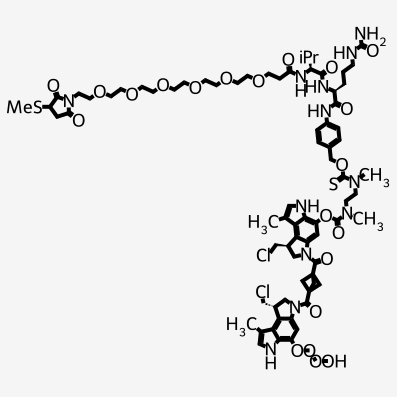 CSC1CC(=O)N(CCOCCOCCOCCOCCOCCOCCC(=O)N[C@H](C(=O)N[C@@H](CCCNC(N)=O)C(=O)Nc2ccc(COC(=S)N(C)CCN(C)C(=O)Oc3cc4c(c5c(C)c[nH]c35)[C@H](CCl)CN4C(=O)C34CC(C(=O)N5C[C@@H](CCl)c6c5cc(OOOO)c5[nH]cc(C)c65)(C3)C4)cc2)C(C)C)C1=O